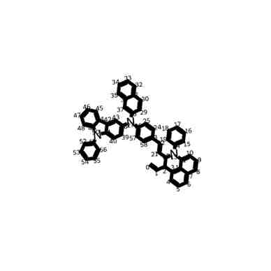 C=CC1c2cccc3cccc(c23)N(c2ccccc2)C1/C=C/c1ccc(N(c2ccc3ccccc3c2)c2ccc3c(c2)c2ccccc2n3-c2ccccc2)cc1